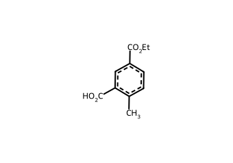 CCOC(=O)c1ccc(C)c(C(=O)O)c1